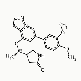 COc1ccc(-c2cc(O[C@H](C)C3CNC(=O)C3)c3ccnn3c2)cc1OC